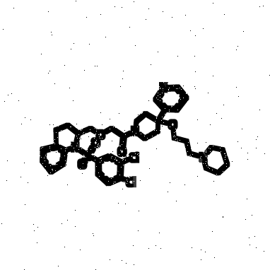 O=C(COCC1CCc2ccccc2N1S(=O)(=O)c1ccc(Cl)c(Cl)c1)N1CCC(OCCCN2CCCCC2)(c2cccnc2)CC1